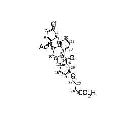 CC(=O)N(c1ccc(Cl)cc1)[C@@H]1C[C@H](C)N(C(=O)c2cccc(OCCCC(=O)O)c2)c2ccccc21